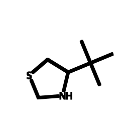 CC(C)(C)C1CSCN1